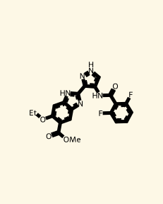 CCOc1cc2[nH]c(-c3n[nH]cc3NC(=O)c3c(F)cccc3F)nc2cc1C(=O)OC